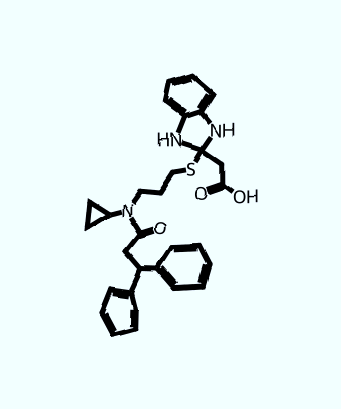 O=C(O)CC1(SCCCN(C(=O)CC(c2ccccc2)c2ccccc2)C2CC2)Nc2ccccc2N1